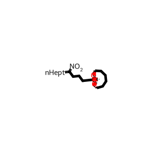 [CH2]CCCCCCC(CCC[C]1OC2CCCCC(COCC2)O1)[N+](=O)[O-]